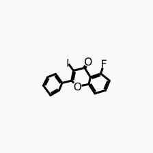 O=c1c(I)c(-c2ccccc2)oc2cccc(F)c12